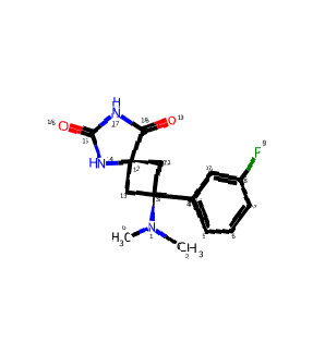 CN(C)[C@]1(c2cccc(F)c2)C[C@@]2(C1)NC(=O)NC2=O